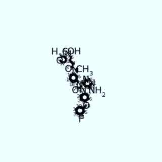 CN(C(=O)/C=C/C[N@@+](C)(O)C1CCOC1)c1cccc(-n2c(=O)n(-c3ccc(Oc4cccc(F)c4)cc3)c3c(N)ncnc32)c1